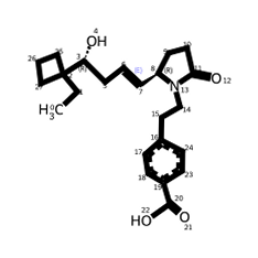 CCC1([C@H](O)C/C=C/[C@H]2CCC(=O)N2CCc2ccc(C(=O)O)cc2)CCC1